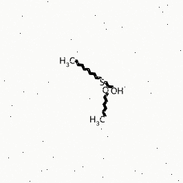 CCCCCCCCCCSCC(CO)OCCCCCCCC